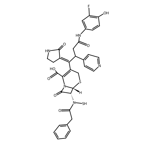 O=C(CC(C(=C1CCNC1=O)C1=C(C(=O)O)N2C(=O)[C@@H](N(S)C(=O)Cc3ccccc3)[C@H]2SC1)c1ccncc1)Nc1ccc(O)c(F)c1